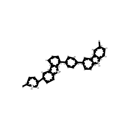 Cc1ccc(-c2ccc3oc4c(-c5ccc(-c6ccc7sc8ccc(C)cc8c7c6)cc5)cccc4c3c2)cc1